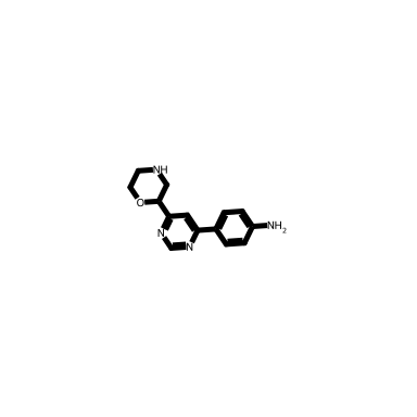 Nc1ccc(-c2cc(C3CNCCO3)ncn2)cc1